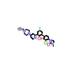 Cn1ccn(-c2ccc(-c3cc(F)cc(-c4cc(N5CCN(C(C)(C)C)CC5)ccn4)c3O)cc2Cl)c1=O